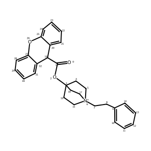 O=C(OC12CC[N+](CCc3ccccc3)(CC1)CC2)C1c2ccccc2Oc2ccccc21